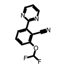 N#Cc1c(OC(F)F)cccc1-c1ncccn1